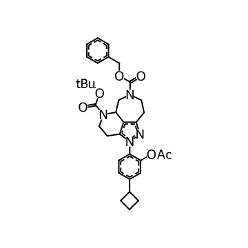 CC(=O)Oc1cc(C2CCC2)ccc1-n1nc2c3c1CCN(C(=O)OC(C)(C)C)C3CN(C(=O)OCc1ccccc1)CC2